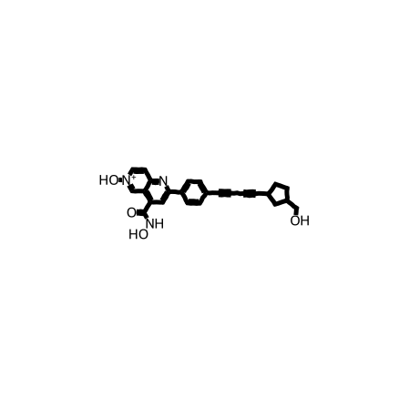 O=C(NO)c1cc(-c2ccc(C#CC#CC3CCC(CO)C3)cc2)nc2cc[n+](O)cc12